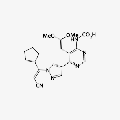 COC(Cc1c(NC(=O)O)ncnc1-c1cnn(/C(=C\C#N)C2CCCC2)c1)OC